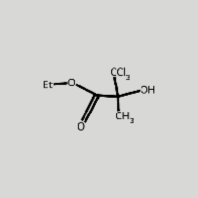 CCOC(=O)C(C)(O)C(Cl)(Cl)Cl